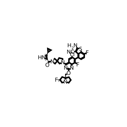 N#Cc1c(N)sc2c(F)ccc(-c3c(Cl)cc4c(N5CCC6(CN(C(=O)[C@@H]7N[C@H]7C7CC7)C6)C5)nc(OC[C@@]56CCCN5C[C@H](F)C6)nc4c3F)c12